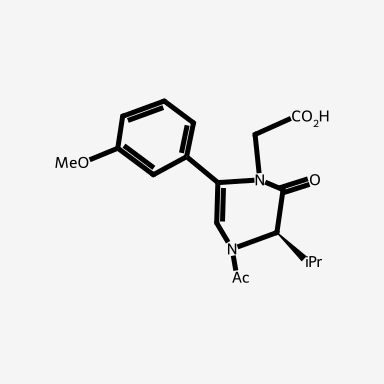 COc1cccc(C2=CN(C(C)=O)[C@H](C(C)C)C(=O)N2CC(=O)O)c1